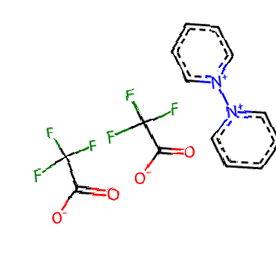 O=C([O-])C(F)(F)F.O=C([O-])C(F)(F)F.c1cc[n+](-[n+]2ccccc2)cc1